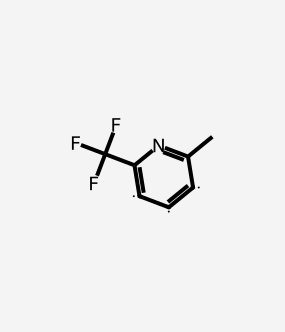 Cc1[c][c][c]c(C(F)(F)F)n1